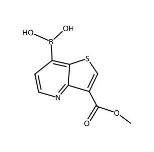 COC(=O)c1csc2c(B(O)O)ccnc12